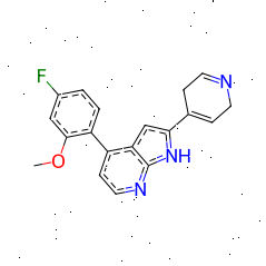 COc1cc(F)ccc1-c1ccnc2[nH]c(C3=CCN=CC3)cc12